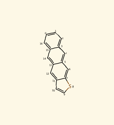 c1ccc2cc3cc4sccc4cc3cc2c1